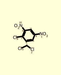 ClCCl.O=[N+]([O-])c1ccc(Cl)c([N+](=O)[O-])c1